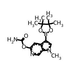 Cn1cc(B2OC(C)(C)C(C)(C)O2)c2cc(OC(N)=O)ncc21